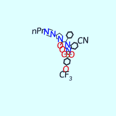 CCCN1CCN([C@H]2CCN(C(=O)C(c3ccccc3)n3c(=O)n(S(=O)(=O)c4ccc(OCC(F)(F)F)cc4)c4ccc(C#N)cc43)C2)CC1